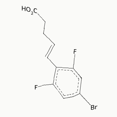 O=C(O)CC/C=C/c1c(F)cc(Br)cc1F